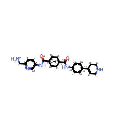 NCc1ccc(NC(=O)C23CCC(C(=O)Nc4ccc(C5=CCNCC5)cc4)(CC2)CC3)cn1